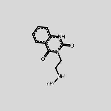 CCCNCCn1c(=O)[nH]c2ccccc2c1=O